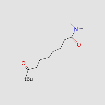 CN(C)C(=O)CCCCCCC(=O)C(C)(C)C